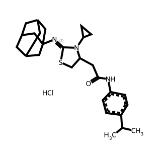 CC(C)c1ccc(NC(=O)CC2CS/C(=N\C34CC5CC(CC(C5)C3)C4)N2C2CC2)cc1.Cl